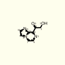 O=C(CO)c1nccn2ccnc12